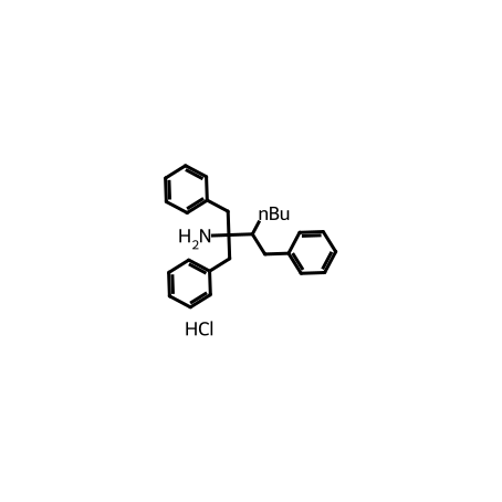 CCCCC(Cc1ccccc1)C(N)(Cc1ccccc1)Cc1ccccc1.Cl